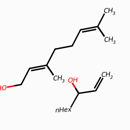 C=CC(O)CCCCCC.CC(C)=CCC/C(C)=C/CO